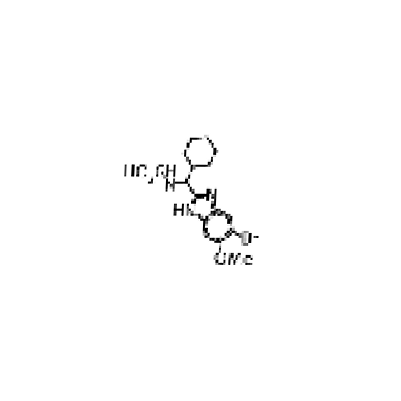 COc1cc2[nH]c(C(NC(=O)O)C3CCCCC3)nc2cc1Br